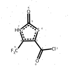 O=C(Cl)c1sc(=O)[nH]c1C(F)(F)F